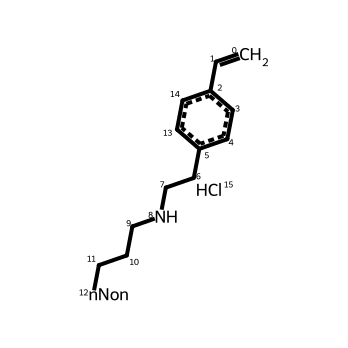 C=Cc1ccc(CCNCCCCCCCCCCCC)cc1.Cl